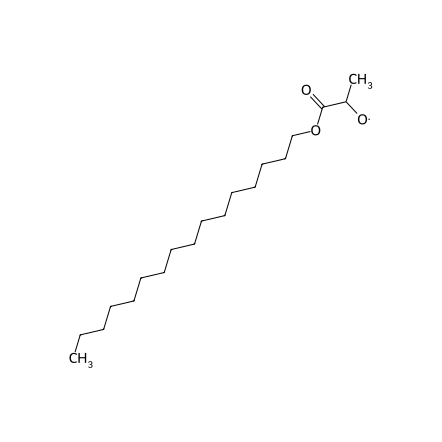 CCCCCCCCCCCCCCCCOC(=O)C(C)[O]